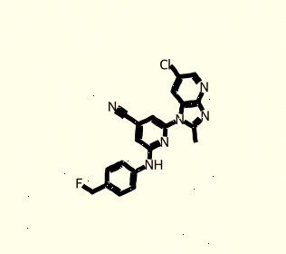 Cc1nc2ncc(Cl)cc2n1-c1cc(C#N)cc(Nc2ccc(CF)cc2)n1